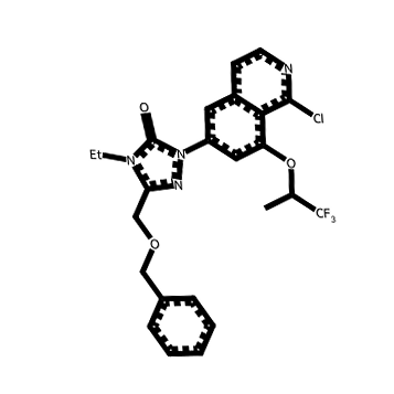 CCn1c(COCc2ccccc2)nn(-c2cc(OC(C)C(F)(F)F)c3c(Cl)nccc3c2)c1=O